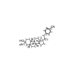 CCC[C@@]1(O)CC[C@H]2[C@H](CC[C@@H]3[C@@H]2CC[C@]2(C)[C@@H](C(C)Cc4ccc(C#N)nc4)CC[C@@H]32)C1